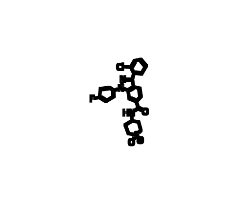 O=C(NC1CCS(=O)(=O)CC1)c1ccc2c(-c3ccccc3Cl)nn(-c3ccc(F)cc3)c2c1